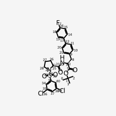 CC(C)(C)OC(=O)[C@H](Cc1ccc(-c2ccc(F)cc2)cc1)NC(=O)[C@@H]1CCCN1S(=O)(=O)c1cc(Cl)cc(Cl)c1